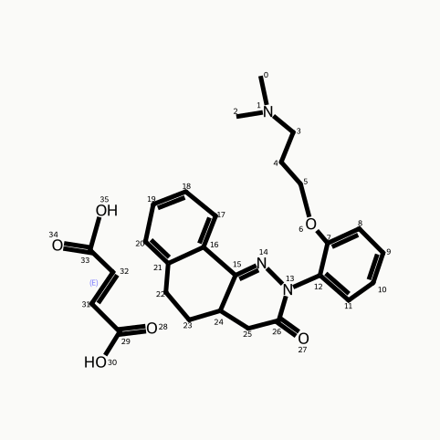 CN(C)CCCOc1ccccc1N1N=C2c3ccccc3CCC2CC1=O.O=C(O)/C=C/C(=O)O